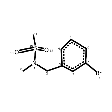 CN(Cc1[c]ccc(Br)c1)S(C)(=O)=O